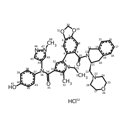 CCn1c(-c2cc3c(cc2C(=O)N2Cc4ccccc4C[C@H]2CN2CCOCC2)OCO3)cc(C(=O)N(c2ccc(O)cc2)c2cnn(C)c2)c1C.Cl